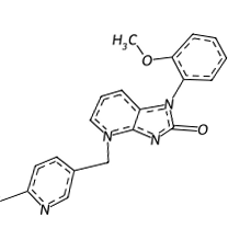 COc1ccccc1-n1c2cccn(Cc3ccc(Cl)nc3)c-2nc1=O